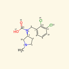 CN1CC[C@H](N(Cc2cccc(Cl)c2Cl)C(=O)O)C1